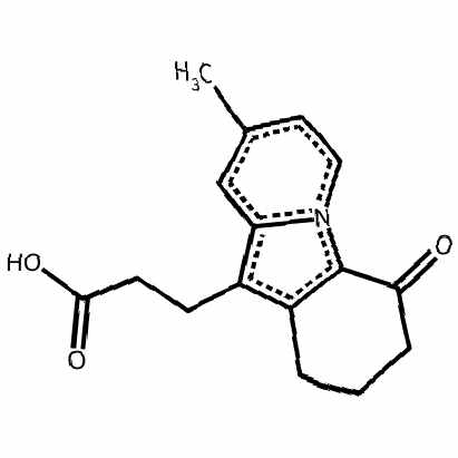 Cc1ccn2c3c(c(CCC(=O)O)c2c1)CCCC3=O